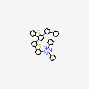 c1ccc(-c2cccc(-c3ccc(-c4cccc5c4sc4c(-c6nc(-c7ccccc7)nc(-c7ccccc7)n6)cccc45)c4c3sc3ccccc34)c2)cc1